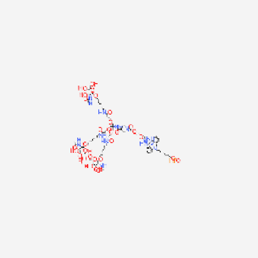 COPOCCCCCCCN1Cc2ccccc2/C(NCCOCCOCC(=O)N2CCC(C(=O)NC(COCCC(=O)NCCCCCCOC3OC(CO)C(O)C(O)C3NC(C)=O)(COCCC(=O)NCCCCCCOC3OC(CO)C(O)C(O)C3NC(C)=O)COCCC(=O)NCCCCCCOC3OC(CO)C(O)C(O)C3NC(C)=O)CC2)=C(/NN)c2ccccc21